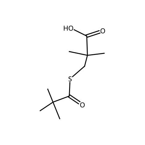 CC(C)(C)C(=O)SCC(C)(C)C(=O)O